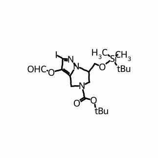 CC(C)(C)OC(=O)N1Cc2c(OC=O)c(I)nn2C(CO[Si](C)(C)C(C)(C)C)C1